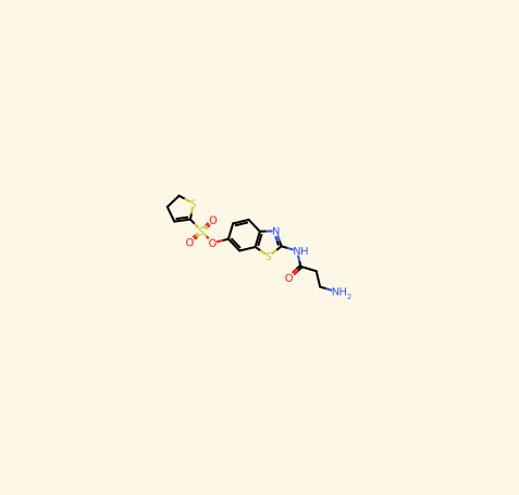 NCCC(=O)Nc1nc2ccc(OS(=O)(=O)C3=CCCS3)cc2s1